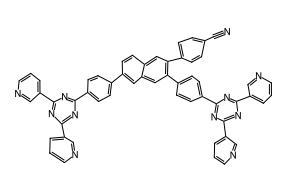 N#Cc1ccc(-c2cc3ccc(-c4ccc(-c5nc(-c6cccnc6)nc(-c6cccnc6)n5)cc4)cc3cc2-c2ccc(-c3nc(-c4cccnc4)nc(-c4cccnc4)n3)cc2)cc1